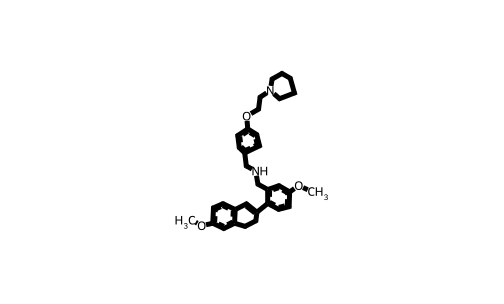 COc1ccc2c(c1)CCC(c1ccc(OC)cc1CNCc1ccc(OCCN3CCCCC3)cc1)=C2